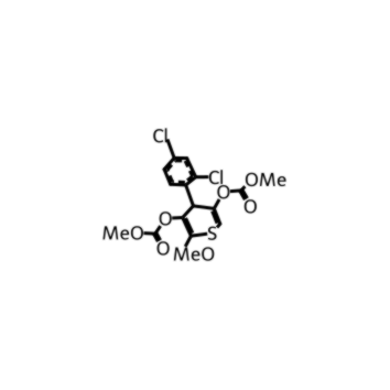 COC(=O)OC1=CSC(OC)=C(OC(=O)OC)C1c1ccc(Cl)cc1Cl